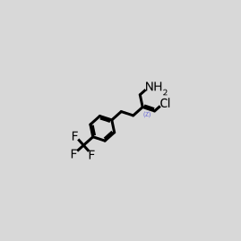 NC/C(=C\Cl)CCc1ccc(C(F)(F)F)cc1